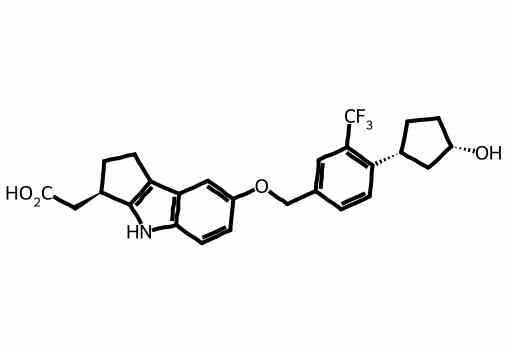 O=C(O)C[C@H]1CCc2c1[nH]c1ccc(OCc3ccc([C@@H]4CC[C@H](O)C4)c(C(F)(F)F)c3)cc21